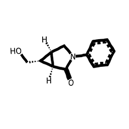 O=C1[C@H]2[C@H](CO)[C@H]2CN1c1ccccc1